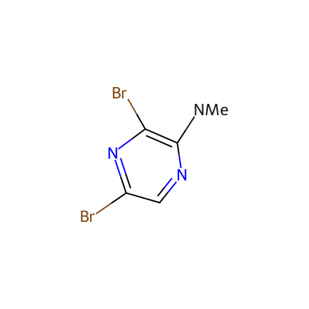 CNc1ncc(Br)nc1Br